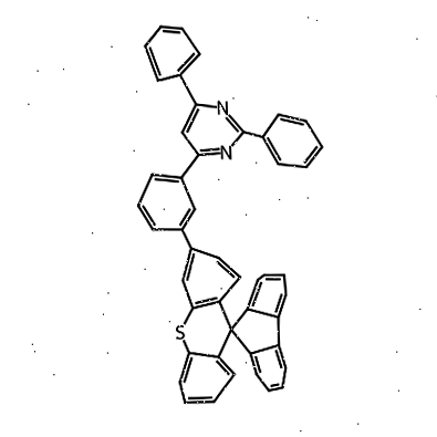 c1ccc(-c2cc(-c3cccc(-c4ccc5c(c4)Sc4ccccc4C54c5ccccc5-c5ccccc54)c3)nc(-c3ccccc3)n2)cc1